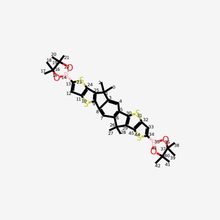 CC1(C)c2cc3c(cc2-c2sc4cc(B5OC(C)(C)C(C)(C)O5)sc4c21)C(C)(C)c1c-3sc2cc(B3OC(C)(C)C(C)(C)O3)sc12